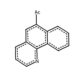 CC(=O)c1cc2cccnc2c2ccccc12